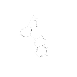 c1cc(-c2cc3ncncc3cn2)c2c(c1)C1CC1C2